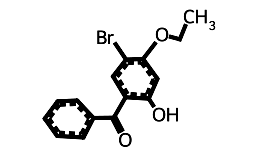 CCOc1cc(O)c(C(=O)c2ccccc2)cc1Br